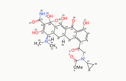 COC(=O)N(CC(=O)c1ccc(O)c2c1C[C@H]1C[C@H]3[C@@H](N(C)C)C(O)=C(C(N)=O)C4(O)O[C@]34C(O)=C1C2=O)C1CC1